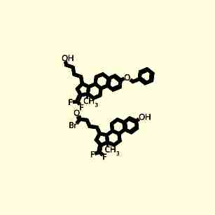 C[C@]12CCC3c4ccc(O)cc4CCC3C1C(CCCC(=O)Br)CC2=C(F)F.C[C@]12CCC3c4ccc(OCc5ccccc5)cc4CCC3C1C(CCCCO)CC2=C(F)F